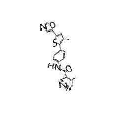 Cc1cnncc1C(=O)Nc1ccc(-c2sc(-c3cnco3)cc2C)cc1